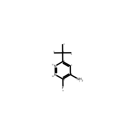 CC(C)(C)c1cc(N)c(F)nn1